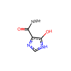 CNC(=O)c1nc[nH]c1O